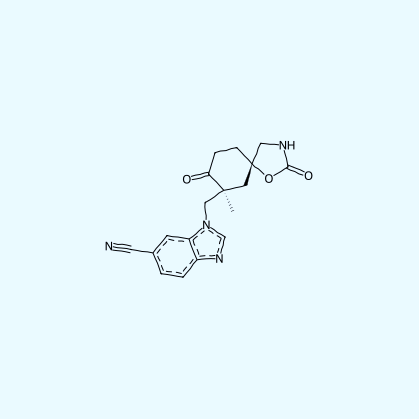 C[C@@]1(Cn2cnc3ccc(C#N)cc32)C[C@@]2(CCC1=O)CNC(=O)O2